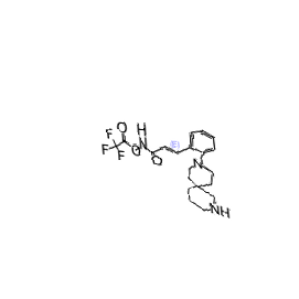 O=C(/C=C/c1ccccc1N1CCC2(CCCNC2)CC1)NOC(=O)C(F)(F)F